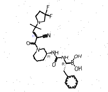 CC(C)(/C=C(\C#N)C(=O)N1CCC[C@H](NC(=O)N[C@@H](Cc2ccccc2)B(O)O)C1)N1CCC(F)(F)C1